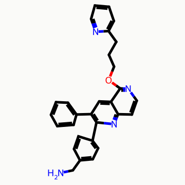 NCc1ccc(-c2nc3ccnc(OCCCc4ccccn4)c3cc2-c2ccccc2)cc1